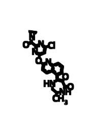 CC1CNc2c(oc3ccc4nc(Oc5cc(Cl)nc(C(=O)N6CC6)n5)ccc4c23)C(=O)N1